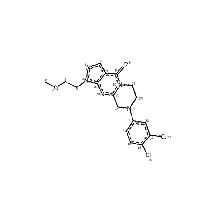 COCCn1ncc2c(=O)n3c(nc21)CN(c1ccc(Cl)c(Cl)c1)CC3